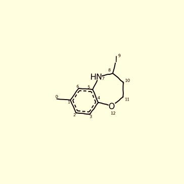 Cc1ccc2c(c1)NC(I)CCO2